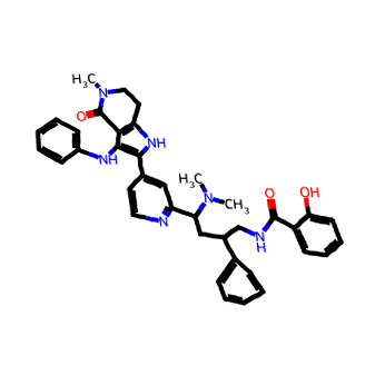 CN1CCc2[nH]c(-c3ccnc(C(CC(CNC(=O)c4ccccc4O)c4ccccc4)N(C)C)c3)c(Nc3ccccc3)c2C1=O